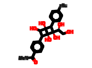 CCCCc1ccc(C2[C@]3(O)C(O)C(c4ccc(C(=O)NC)cc4)[C@]3(O)[C@]2(O)[C@H](O)CO)cc1